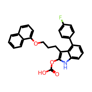 O=C(O)Oc1[nH]c2cccc(-c3ccc(F)cc3)c2c1CCCOc1cccc2ccccc12